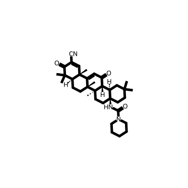 CC1(C)CC[C@]2(NC(=O)N3CCCCC3)CC[C@]3(C)[C@H](C(=O)C=C4[C@@]5(C)C=C(C#N)C(=O)C(C)(C)[C@@H]5CC[C@]43C)[C@H]2C1